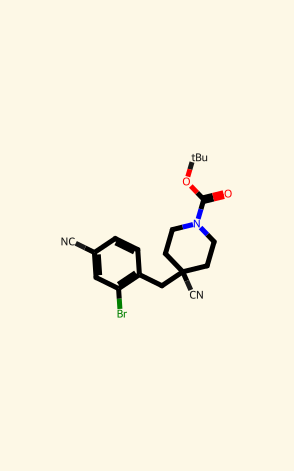 CC(C)(C)OC(=O)N1CCC(C#N)(Cc2ccc(C#N)cc2Br)CC1